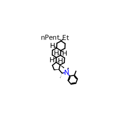 CCCCC[C@@]1(CC)CC[C@H]2[C@H](CC[C@@H]3[C@@H]2CC[C@]2(C)[C@@H]([C@@H](C)N(C)c4ccccc4C)CC[C@@H]32)C1